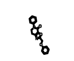 O=C1c2oc(COc3ccccc3)nc2CCN1c1ccccc1